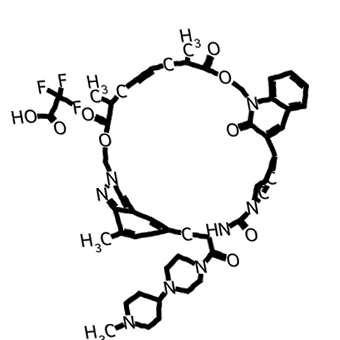 Cc1cc2cc3cn(nc13)COC(=O)C(C)C/C=C\CC(C)C(=O)OCn1c(=O)c(cc3ccccc31)C1CCN(CC1)C(=O)NC(C(=O)N1CCN(C3CCN(C)CC3)CC1)C2.O=C(O)C(F)(F)F